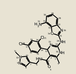 CC1=C(C(=O)NCc2cnn(C)c2)C(c2ccc(Cl)cc2Cl)N=C(Nc2nc3cccc(N)c3o2)N1